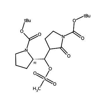 CC(C)(C)OC(=O)N1CCC(C(OS(C)(=O)=O)[C@@H]2CCCN2C(=O)OC(C)(C)C)C1=O